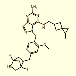 COc1cc(CN2C[C@@H]3C[C@H]2CN3)ccc1Cn1ncc2nc(N)nc(NCC3CC4(C3)CC4F)c21